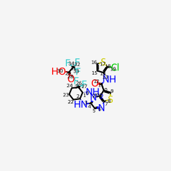 N[C@@H]1[C@H](Nc2cnc3scc(C(=O)Nc4ccsc4Cl)c3n2)CCCC1(F)F.O=C(O)C(F)(F)F